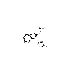 Cc1cc(-n2c(NC(=O)[C@@H](C)C(C)(C)C)nc3ccc(C#N)cc32)on1